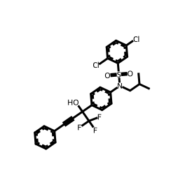 CC(C)CN(c1ccc(C(O)(C#Cc2ccccc2)C(F)(F)F)cc1)S(=O)(=O)c1cc(Cl)ccc1Cl